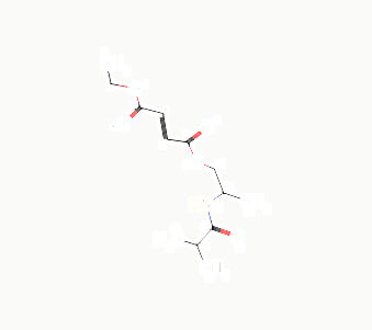 CCOC(=O)/C=C/C(=O)OCC(C)NC(=O)C(C)C